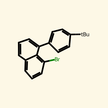 CC(C)(C)c1ccc(-c2cccc3cccc(Br)c23)cc1